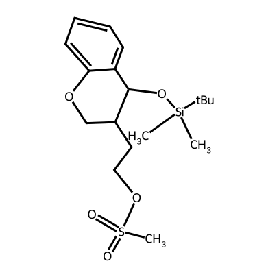 CC(C)(C)[Si](C)(C)OC1c2ccccc2OCC1CCOS(C)(=O)=O